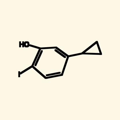 Oc1cc(C2CC2)ccc1I